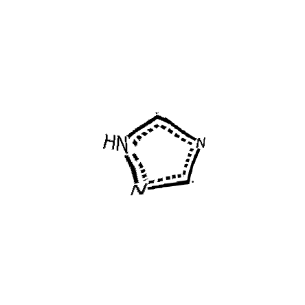 [c]1n[c][nH]n1